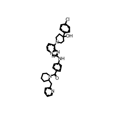 O=C(c1ccc(Nc2nc3c(N4CCC(O)(c5ccc(Cl)cc5)CC4)cccn3n2)cc1)N1CCCCC1Cc1ccccn1